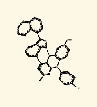 Cc1cc2c3c(c1)N(c1ccc(C(C)(C)C)cc1)c1ccc(C(C)(C)C)cc1B3c1sc(-c3cccc4ccccc34)c3cccc-2c13